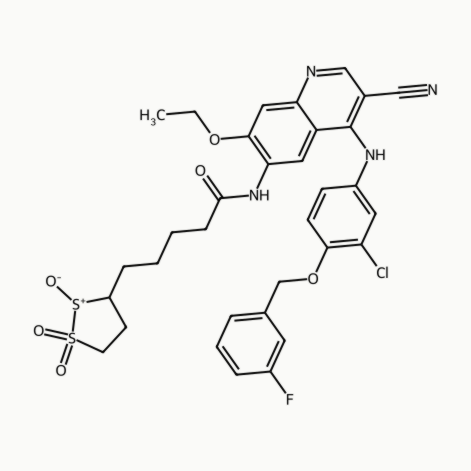 CCOc1cc2ncc(C#N)c(Nc3ccc(OCc4cccc(F)c4)c(Cl)c3)c2cc1NC(=O)CCCCC1CCS(=O)(=O)[S+]1[O-]